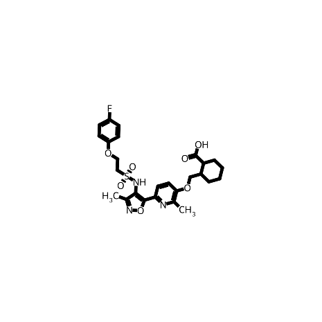 Cc1nc(-c2onc(C)c2NS(=O)(=O)CCOc2ccc(F)cc2)ccc1OCC1CCCCC1C(=O)O